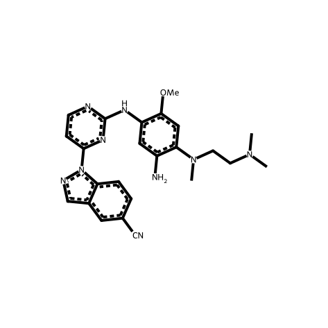 COc1cc(N(C)CCN(C)C)c(N)cc1Nc1nccc(-n2ncc3cc(C#N)ccc32)n1